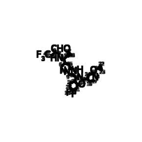 O=CC(CN[C@@H](c1cnn2cc([C@@H](NC(=O)c3ccnc(OC4CC4)c3)C3CCC(F)(F)CC3)nc2c1)C1CC1)CC(F)(F)F